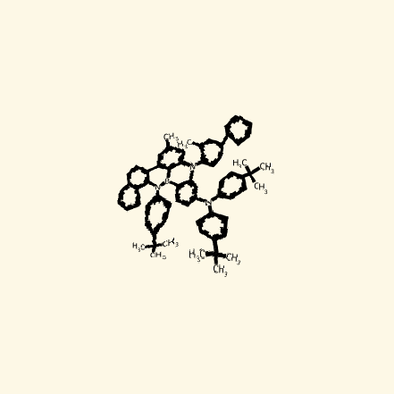 Cc1cc2c3c(c1)N(c1ccc(-c4ccccc4)cc1C)c1cc(N(c4ccc(C(C)(C)C)cc4)c4ccc(C(C)(C)C)cc4)ccc1B3N(c1ccc(C(C)(C)C)cc1)c1c-2ccc2ccccc12